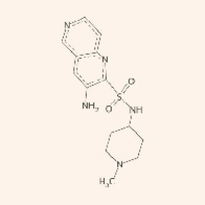 CN1CCC(NS(=O)(=O)c2nc3ccncc3cc2N)CC1